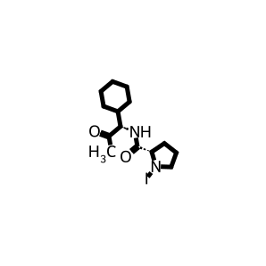 CC(=O)[C@@H](NC(=O)[C@@H]1CCCN1I)C1CCCCC1